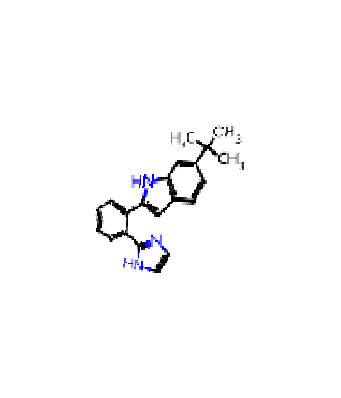 CC(C)(C)c1ccc2cc(-c3ccccc3-c3ncc[nH]3)[nH]c2c1